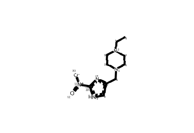 CCN1CCN(Cc2c[nH]c([N+](=O)[O-])n2)CC1